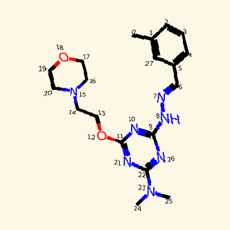 Cc1cccc(C=NNc2nc(OCCN3CCOCC3)nc(N(C)C)n2)c1